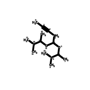 CC#C[SiH2]C(OC(C)N(C)C)OC(C)N(C)C